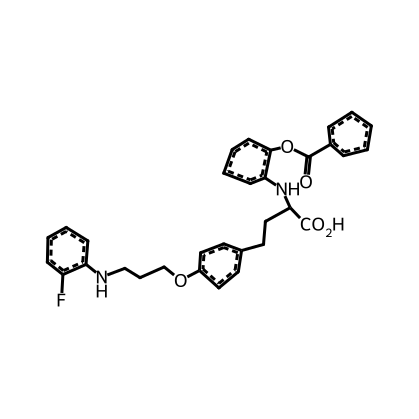 O=C(Oc1ccccc1NC(CCc1ccc(OCCCNc2ccccc2F)cc1)C(=O)O)c1ccccc1